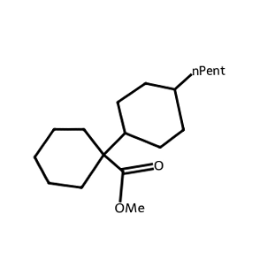 CCCCCC1CCC(C2(C(=O)OC)CCCCC2)CC1